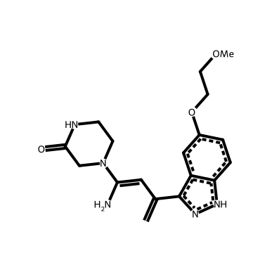 C=C(/C=C(\N)N1CCNC(=O)C1)c1n[nH]c2ccc(OCCOC)cc12